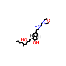 CCCC[C@H](C)C[C@H](O)/C=C/[C@@H]1[C@H]2CC(CCNCCN3CCOCC3)=C[C@H]2C[C@H]1O